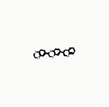 c1ccc2c(c1)CC(c1ccc3c(c1)OCC(c1ccc4c(c1)OCCO4)S3)CO2